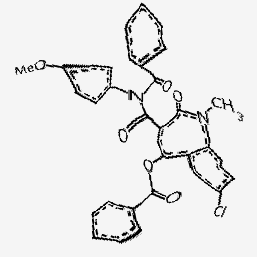 COc1ccc(N(C(=O)c2ccccc2)C(=O)c2c(OC(=O)c3ccccc3)c3cc(Cl)ccc3n(C)c2=O)cc1